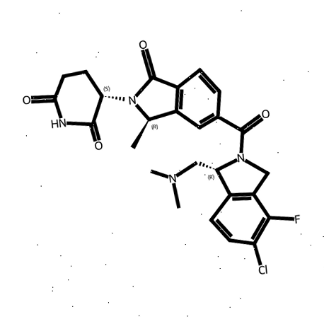 C[C@@H]1c2cc(C(=O)N3Cc4c(ccc(Cl)c4F)[C@@H]3CN(C)C)ccc2C(=O)N1[C@H]1CCC(=O)NC1=O